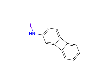 INc1ccc2c(c1)-c1ccccc1-2